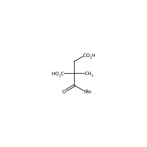 CC(C)(C)C(=O)C(C)(CC(=O)O)C(=O)O